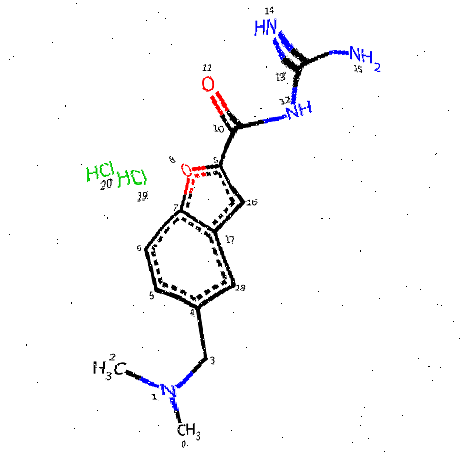 CN(C)Cc1ccc2oc(C(=O)NC(=N)N)cc2c1.Cl.Cl